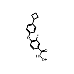 O=C(NO)c1ccc(Oc2ccc(C3CCC3)cc2)c(F)c1